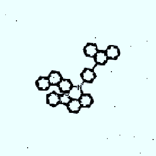 c1ccc2c(c1)ccc1cc(N(c3ccc(-c4cc5ccccc5c5ccccc45)cc3)c3cccc4ccc5c6ccccc6oc5c34)ccc12